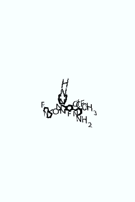 Cc1cc(N)nc(-c2c(Cl)cc3c(N4C5CCC4CNC5)nc(OC[C@@]45CCCN4C[C@H](F)C5)nc3c2F)c1C(F)(F)F